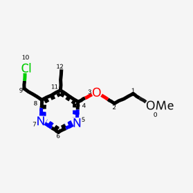 COCCOc1ncnc(CCl)c1C